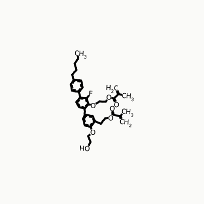 C=C(C)C(=O)OCCOc1c(-c2ccc(OCCO)c(CCOC(=O)C(=C)C)c2)ccc(-c2ccc(CCCCC)cc2)c1F